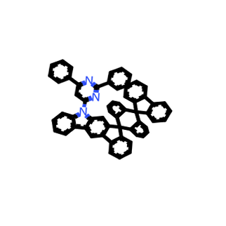 c1ccc(-c2cc(-n3c4ccccc4c4cc5c(cc43)C3(c4ccccc4-5)c4ccccc4C4(c5ccccc5-c5ccccc54)c4ccccc43)nc(-c3ccccc3)n2)cc1